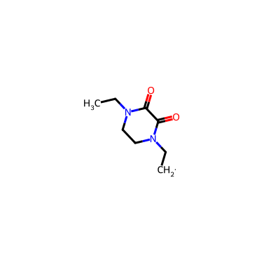 [CH2]CN1CCN(CC)C(=O)C1=O